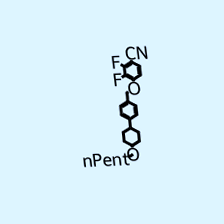 CCCCCOC1CCC(c2ccc(COc3ccc(C#N)c(F)c3F)cc2)CC1